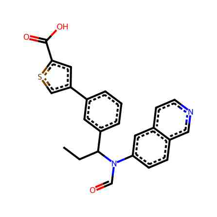 CCC(c1cccc(-c2csc(C(=O)O)c2)c1)N(C=O)c1ccc2cnccc2c1